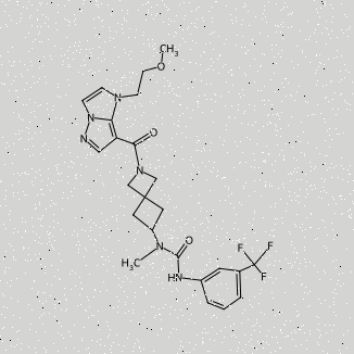 COCCn1ccn2ncc(C(=O)N3CC4(CC(N(C)C(=O)Nc5cccc(C(F)(F)F)c5)C4)C3)c12